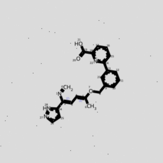 C=N/C(=C\C=C(/C)OCc1cccc(-c2cccc(C(=O)O)n2)c1)c1ccn[nH]1